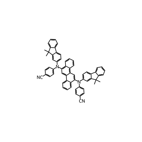 CC1(C)c2ccccc2-c2ccc(N(c3ccc(C#N)cc3)c3cc4c5ccccc5c(N(c5ccc(C#N)cc5)c5ccc6c(c5)C(C)(C)c5ccccc5-6)cc4c4ccccc34)cc21